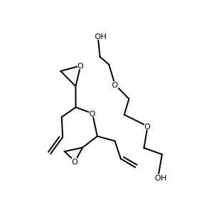 C=CCC(OC(CC=C)C1CO1)C1CO1.OCCOCCOCCO